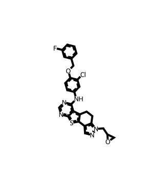 Fc1cccc(COc2ccc(Nc3ncnc4sc5c(c34)CCc3c-5cnn3CC3CO3)cc2Cl)c1